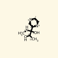 CNC(O)(c1cnccn1)C(C)O